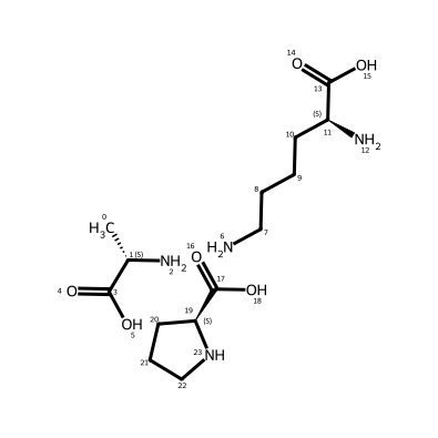 C[C@H](N)C(=O)O.NCCCC[C@H](N)C(=O)O.O=C(O)[C@@H]1CCCN1